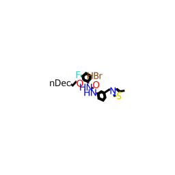 Br.CCCCCCCCCCCCOc1c(F)cccc1NC(=O)Nc1cccc(CN2C=C(C)SC2)c1